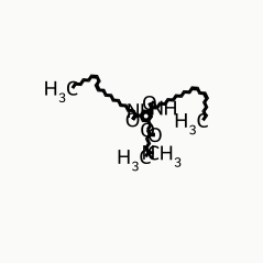 CCCCC/C=C\C/C=C\CCCCCCCCNC(=O)c1cc(COC(=O)CCCN(C)C)cc(C(=O)NCCCCCCCC/C=C\C/C=C\CCCCC)c1